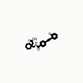 O=C(O)CC1(CNC(=O)c2ccc(C#Cc3ccccc3F)cc2)CCCCC1